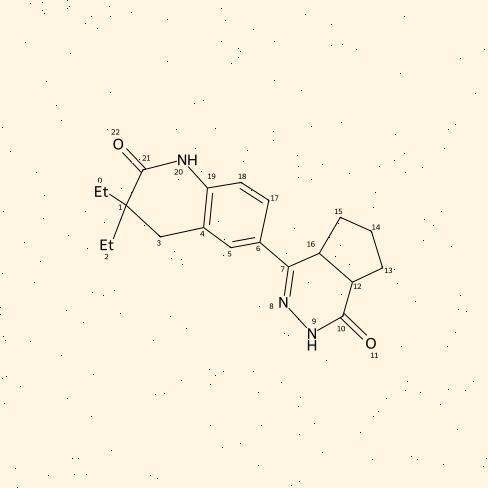 CCC1(CC)Cc2cc(C3=NNC(=O)C4CCCC34)ccc2NC1=O